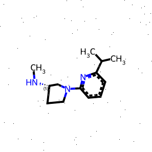 CN[C@H]1CCN(c2cccc(C(C)C)n2)C1